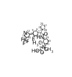 Cc1c(NC(=O)C(c2ccc(-c3cncc(C(F)(F)F)c3)c(F)c2)C2CCCC2)cccc1N(C)CC(=O)O